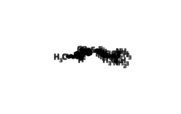 CCCCCc1ccc(-c2cc3ccc(SCCC(F)(F)C(F)(F)C(F)(F)C(F)(F)CCOC(=O)C(CC(C)(C)N)C(C)(C)N)cc3oc2=O)c(C(F)(F)F)c1